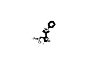 CCCN(C)Cc1c[nH]nc1-c1cnn(-c2ccccc2)c1